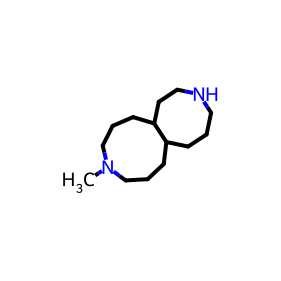 CN1CCCC2CCCNCCC2CCC1